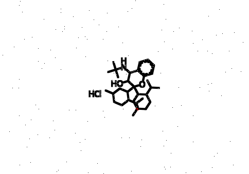 CC1CCC(C(C)C)C(C2(C3CC(C)CCC3C(C)C)Oc3ccccc3C(NC(C)(C)C)C2O)C1.Cl